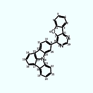 c1ccc2c(c1)oc1c(-c3ccc4c5cccc6c7ccccc7n(c4c3)c65)ncnc12